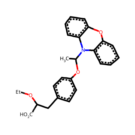 CCOC(Cc1ccc(OC(C)N2c3ccccc3Oc3ccccc32)cc1)C(=O)O